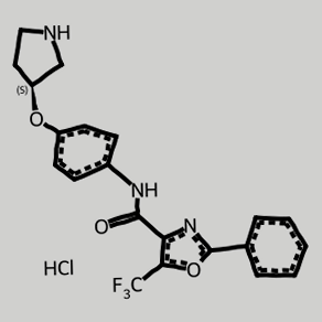 Cl.O=C(Nc1ccc(O[C@H]2CCNC2)cc1)c1nc(-c2ccccc2)oc1C(F)(F)F